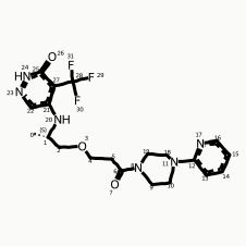 C[C@@H](COCCC(=O)N1CCN(c2ccccn2)CC1)Nc1cn[nH]c(=O)c1C(F)(F)F